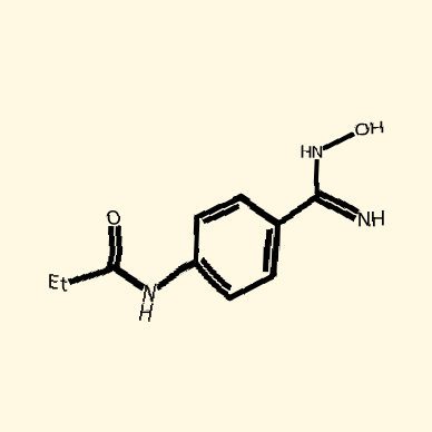 CCC(=O)Nc1ccc(C(=N)NO)cc1